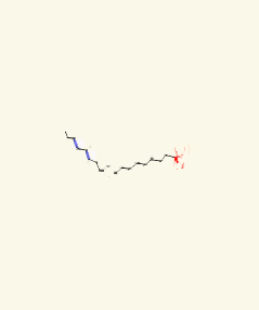 CC/C=C/C=C/CC=C=CCCCCCCCC(=O)O